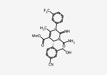 COC(=O)C1=C(C)N(c2cccc(C(F)(F)F)c2)C(=N)N(C(N)=O)[C@@H]1c1ccc(C#N)cc1CO